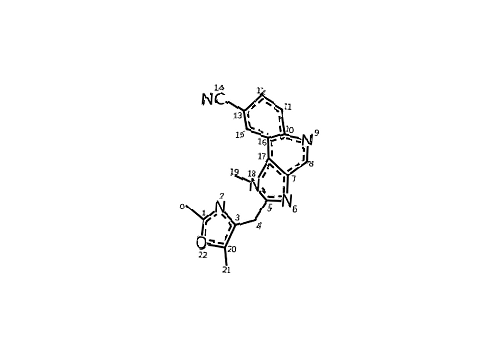 Cc1nc(Cc2nc3cnc4ccc(C#N)cc4c3n2C)c(C)o1